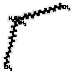 CCCCCCCCCCCCCCCCC=C[N+](C)(C)C=CCCCCCCCCCCCCCCCC